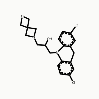 OC(CN1CC2(COC2)C1)CN1c2ccc(Cl)cc2Cc2cc(Cl)ccc21